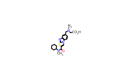 CN(CC(=O)O)Cc1ccc2c(c1)nc1sc(C(=O)N(C)C3CCCCC3)cn12